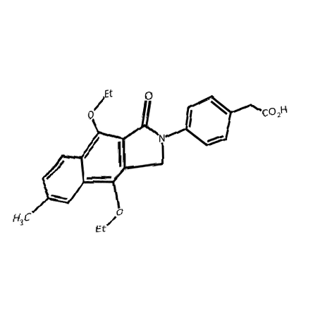 CCOc1c2c(c(OCC)c3ccc(C)cc13)C(=O)N(c1ccc(CC(=O)O)cc1)C2